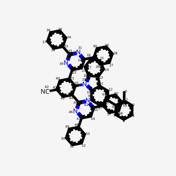 Cc1ccccc1-c1ccc2c(c1)c1ccccc1n2-c1c(-c2cc(-c3ccccc3)nc(-c3ccccc3)n2)cc(C#N)cc1-c1nc(-c2ccccc2)cc(-c2ccccc2)n1